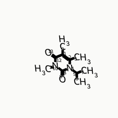 Cc1c(C)n(C(C)C)c(=O)n(C)c1=O